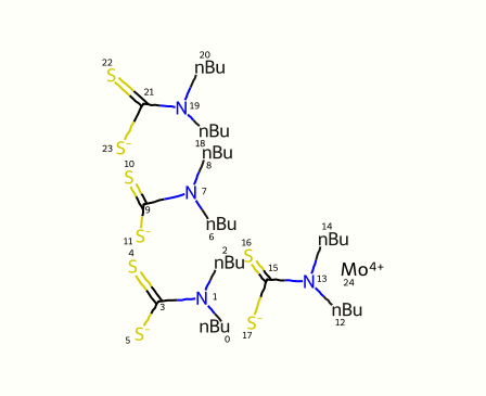 CCCCN(CCCC)C(=S)[S-].CCCCN(CCCC)C(=S)[S-].CCCCN(CCCC)C(=S)[S-].CCCCN(CCCC)C(=S)[S-].[Mo+4]